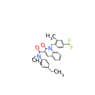 CCc1ccc(N(CC)C(=O)c2cc3ccccc3n(Cc3ccc(C(F)F)cc3C)c2=O)cc1